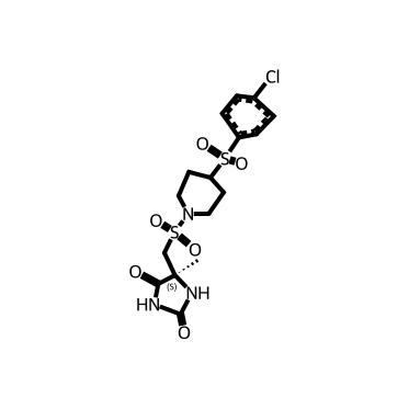 C[C@]1(CS(=O)(=O)N2CCC(S(=O)(=O)c3ccc(Cl)cc3)CC2)NC(=O)NC1=O